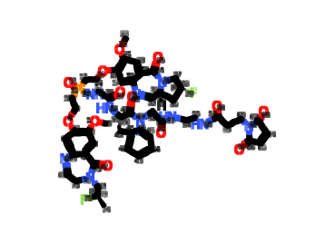 COc1cc2c(cc1OCCP(=O)(CCOc1cc3c(cc1OC)C(=O)N1C[C@H](F)C[C@H]1C=N3)NCC(=O)N[C@@H](Cc1ccccc1)C(=O)NCC(=O)NCCNC(=O)CCN1C(=O)C=CC1=O)N=CCN(C[C@@H](C)F)C2=O